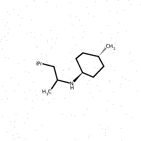 CC(C)CC(C)N[C@H]1CC[C@H](C)CC1